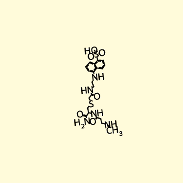 CNCCC(=O)NC(CSCC(=O)NCCNc1cccc2c(S(=O)(=O)O)cccc12)C(N)=O